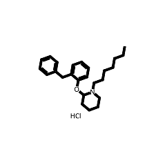 CCCCCCCN1CCCCC1Oc1ccccc1Cc1ccccc1.Cl